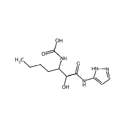 CCCCC(NC(=O)O)C(O)C(=O)Nc1ccn[nH]1